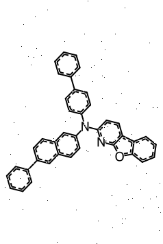 c1ccc(-c2ccc(N(c3ccc4cc(-c5ccccc5)ccc4c3)c3ccc4c(n3)oc3ccccc34)cc2)cc1